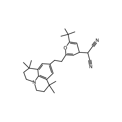 CC(C)(C)C1=CC(C(C#N)C#N)C=C(CCc2cc3c4c(c2)C(C)(C)CCN4CCC3(C)C)O1